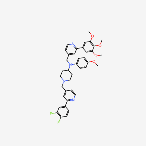 COc1ccc(N(Cc2ccnc(-c3cc(OC)c(OC)c(OC)c3)c2)C2CCN(Cc3ccnc(-c4ccc(F)c(F)c4)c3)CC2)cc1